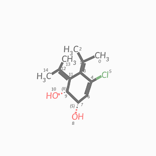 CC(C)=C1C(Cl)=C[C@H](O)[C@H](O)C1=C(C)C